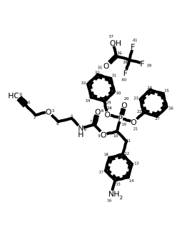 C#CCOCCNC(=O)OC(Cc1ccc(N)cc1)P(=O)(Oc1ccccc1)Oc1ccccc1.O=C(O)C(F)(F)F